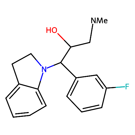 CNCC(O)C(c1cccc(F)c1)N1CCc2ccccc21